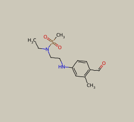 CCN(CCNc1ccc(C=O)c(C)c1)S(C)(=O)=O